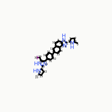 CC1CC[C@@H](c2nc3c(ccc4cc(-c5ccc(-c6nc([C@@H]7CC[C@H](C)N7)[nH]c6CI)cc5)ccc43)[nH]2)N1